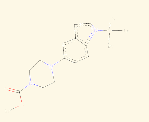 CC(C)[Si](C(C)C)(C(C)C)n1ccc2cc(N3CCN(C(=O)OC(C)(C)C)CC3)ccc21